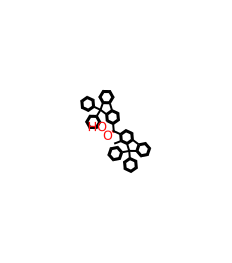 Cc1c(C(=O)c2ccc3c(c2O)C(c2ccccc2)(c2ccccc2)c2ccccc2-3)ccc2c1C(c1ccccc1)(c1ccccc1)c1ccccc1-2